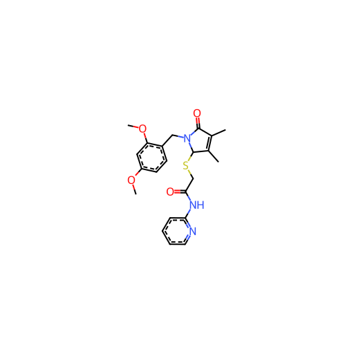 COc1ccc(CN2C(=O)C(C)=C(C)C2SCC(=O)Nc2ccccn2)c(OC)c1